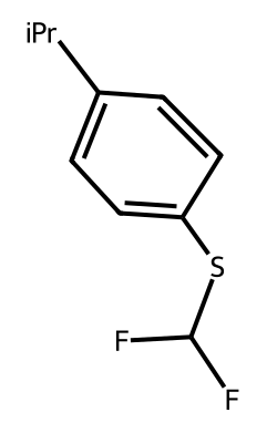 CC(C)c1ccc(SC(F)F)cc1